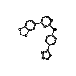 c1cn(-c2ccc(Nc3nccc(-c4ccc5c(c4)OCO5)n3)cc2)nn1